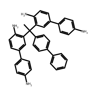 CC(c1ccc(-c2ccccc2)cc1)(c1cc(-c2ccc(N)cc2)ccc1N)c1cc(-c2ccc(N)cc2)ccc1N